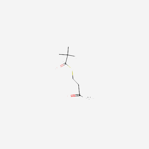 CCC(C)(C)C(=O)SCCC(=O)OC